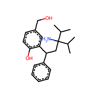 CC(C)C(N)(CC(c1ccccc1)c1cc(CO)ccc1O)C(C)C